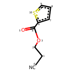 N#CCCOC(=O)c1cccs1